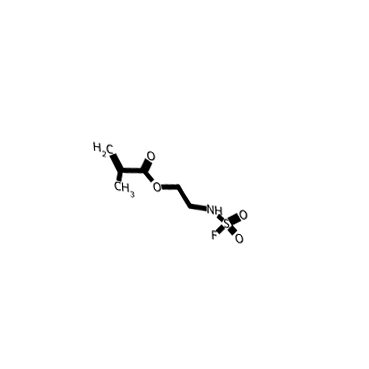 C=C(C)C(=O)OCCNS(=O)(=O)F